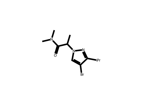 CC(C)c1nn(C(C)C(=O)N(C)C)cc1Br